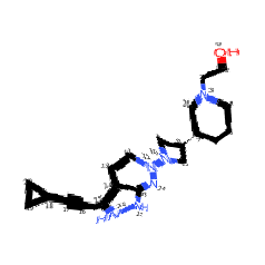 OCCN1CCC[C@H](C2CN(N3C=CC4=C(C#CC5CC5)NNC4=N3)C2)C1